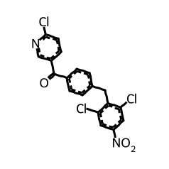 O=C(c1ccc(Cc2c(Cl)cc([N+](=O)[O-])cc2Cl)cc1)c1ccc(Cl)nc1